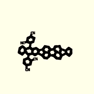 N#Cc1ccc(-c2c3ccccc3c(-c3ccc(C#N)cc3C#N)c3cc4c(cc23)-c2ccc3c5ccc6c7c(ccc(c8ccc-4c2c38)c75)-c2ccccc2-6)c(C#N)c1